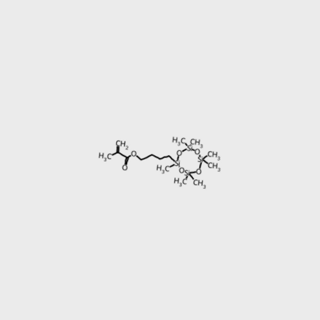 C=C(C)C(=O)OCCCC[Si]1(C)O[Si](C)(C)O[Si](C)(C)O[Si](C)(C)O1